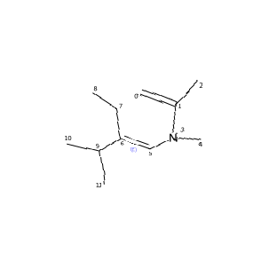 C=C(C)N(C)/C=C(\CC)C(C)C